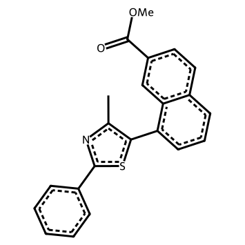 COC(=O)c1ccc2cccc(-c3sc(-c4ccccc4)nc3C)c2c1